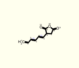 C=C/C=C/C=C/C1CC(=O)OC1=O